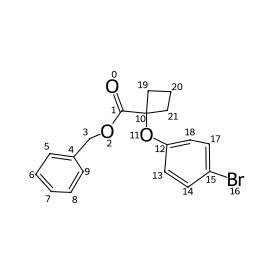 O=C(OCc1ccccc1)C1(Oc2ccc(Br)cc2)CCC1